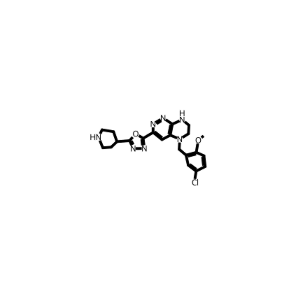 COc1ccc(Cl)cc1CN1CCNc2nnc(-c3nnc(C4CCNCC4)o3)cc21